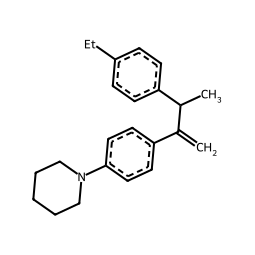 C=C(c1ccc(N2CCCCC2)cc1)C(C)c1ccc(CC)cc1